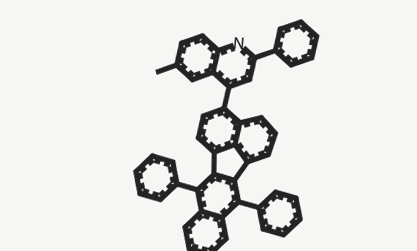 Cc1ccc2nc(-c3ccccc3)cc(-c3ccc4c5c(cccc35)-c3c-4c(-c4ccccc4)c4ccccc4c3-c3ccccc3)c2c1